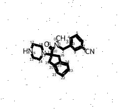 CN(Cc1cccc(C#N)c1)C(=O)C1(N2CCNCC2)Cc2ccccc2C1